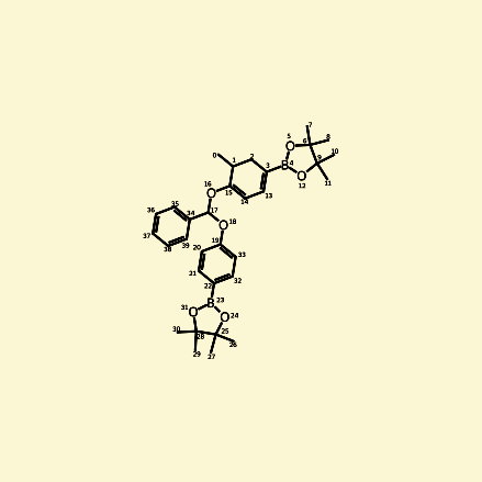 CC1CC(B2OC(C)(C)C(C)(C)O2)=CC=C1OC(Oc1ccc(B2OC(C)(C)C(C)(C)O2)cc1)c1ccccc1